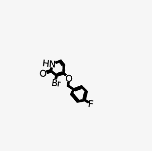 O=c1[nH]ccc(OCc2ccc(F)cc2)c1Br